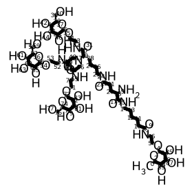 C[C@@H]1O[C@@H](OCCNC(=O)CCCCCNC(=O)[C@@H](N)CCC(=O)NCCCC[C@@H](C(=O)NCCO[C@H]2O[C@H](CO)[C@@H](O)[C@H](O)[C@@H]2O)N(CC(=O)NCCO[C@H]2O[C@H](CO)[C@@H](O)[C@H](O)[C@@H]2O)CC(=O)NCCO[C@H]2O[C@H](CO)[C@@H](O)[C@H](O)[C@@H]2O)[C@@H](O)[C@H](O)[C@@H]1O